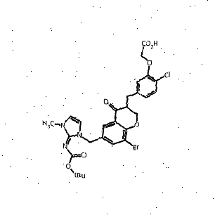 Cn1ccn(Cc2cc(Br)c3c(c2)C(=O)C(Cc2ccc(Cl)c(OCC(=O)O)c2)CO3)/c1=N\C(=O)OC(C)(C)C